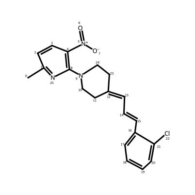 Cc1ccc([N+](=O)[O-])c(N2CCC(=C/C=C/c3ccccc3Cl)CC2)n1